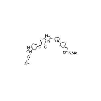 CNC(=O)CN1CCC(n2cc(-c3cnc4ccc(Oc5ccc6nc(C)n(COCC[Si](C)(C)C)c6c5)c(Cl)c4n3)cn2)CC1